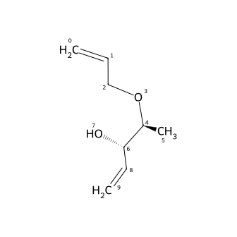 C=CCO[C@@H](C)[C@@H](O)C=C